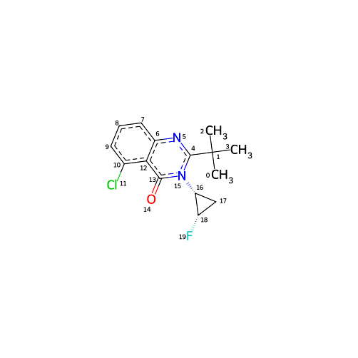 CC(C)(C)c1nc2cccc(Cl)c2c(=O)n1[C@@H]1C[C@@H]1F